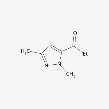 CCC(=O)c1cc(C)nn1C